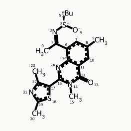 C/C(=N/[S@+]([O-])C(C)(C)C)c1cc(C)cc2c(=O)n(C)c(-c3sc(C)nc3C)nc12